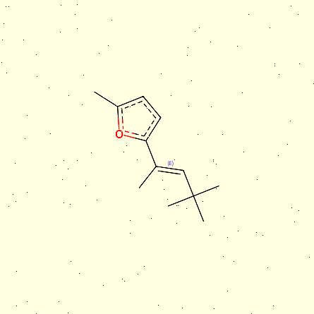 C/C(=C\C(C)(C)C)c1ccc(C)o1